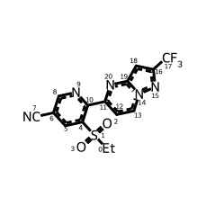 CCS(=O)(=O)c1cc(C#N)cnc1-c1ccn2nc(C(F)(F)F)cc2n1